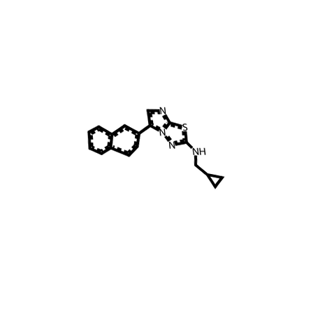 c1ccc2cc(-c3cnc4sc(NCC5CC5)nn34)ccc2c1